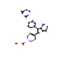 Cc1ccnc(Oc2ccc(-c3c(C4=CCN(C(=O)OC(C)(C)C)CC4)sc4c(Br)cnc(N)c34)cc2F)n1